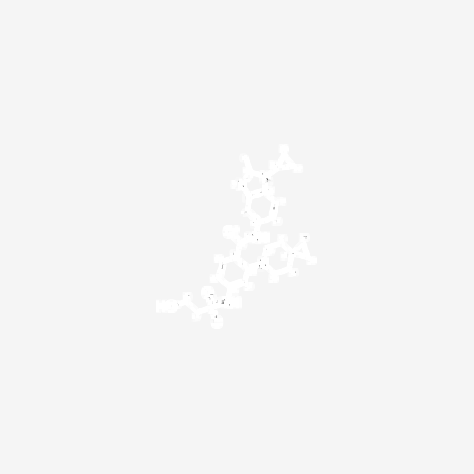 Cc1nc2cc(NC(=O)c3ccc(NS(=O)(=O)CCO)cc3N3CCC4(CC3)CC4)ccc2n1C1CC1